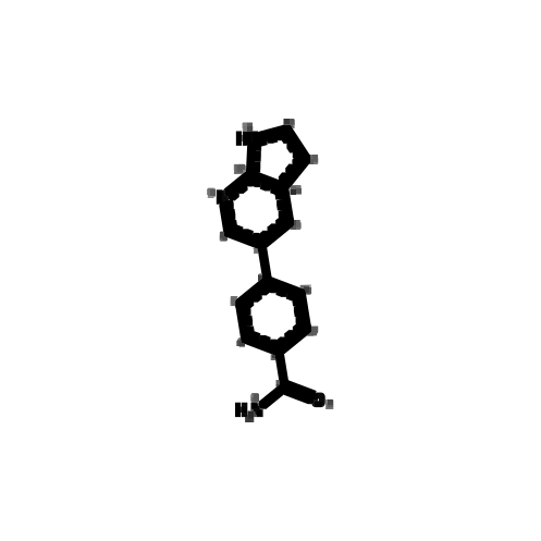 NC(=O)c1ccc(-c2cnc3[nH]ccc3c2)cc1